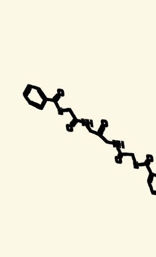 O=C(CNC(=O)CSC(=O)c1ccccc1)CNC(=O)CSC(=O)c1ccccc1